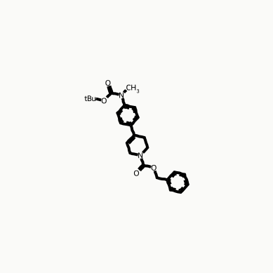 CN(C(=O)OC(C)(C)C)c1ccc(C2=CCN(C(=O)OCc3ccccc3)CC2)cc1